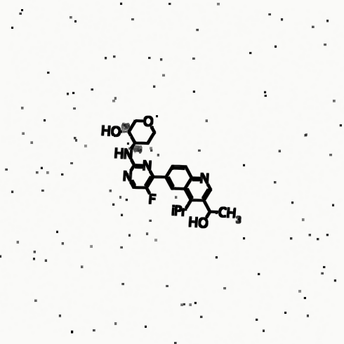 CC(C)c1c(C(C)O)cnc2ccc(-c3nc(N[C@@H]4CCOC[C@H]4O)ncc3F)cc12